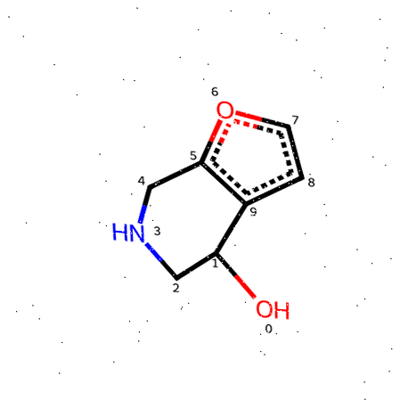 OC1CNCc2occc21